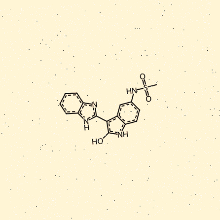 CS(=O)(=O)Nc1ccc2[nH]c(O)c(-c3nc4ccccc4[nH]3)c2c1